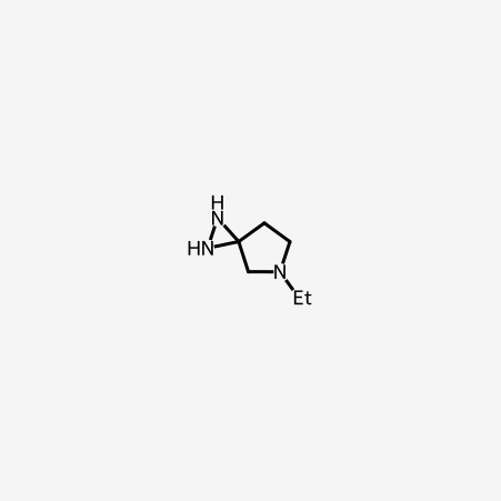 CCN1CCC2(C1)NN2